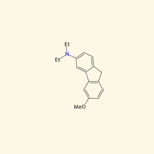 CCN(CC)c1ccc2c(c1)-c1cc(OC)ccc1C2